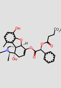 Cc1ccc(O)c2c1[C@]13CCN(C)[C@H](C)[C@]1(O)CC=C(OC(=O)[C@@H](OC(=O)CCC(=O)O)c1ccccc1)[C@@H]3O2